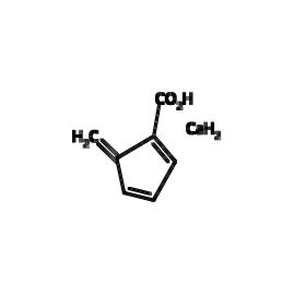 C=C1C=CC=C1C(=O)O.[CaH2]